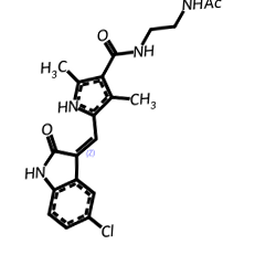 CC(=O)NCCNC(=O)c1c(C)[nH]c(/C=C2\C(=O)Nc3ccc(Cl)cc32)c1C